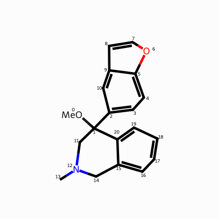 COC1(c2ccc3occc3c2)CN(C)Cc2ccccc21